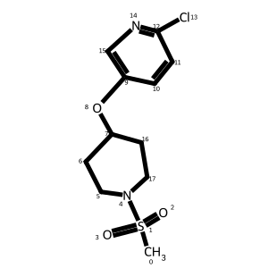 CS(=O)(=O)N1CCC(Oc2ccc(Cl)nc2)CC1